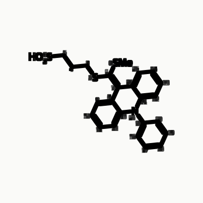 CSC(SCCCS(=O)(=O)O)=C1c2ccccc2N(c2ccccc2)c2ccccc21